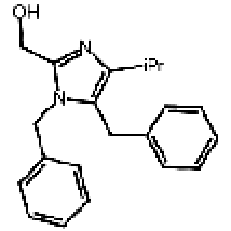 CC(C)c1nc(CO)n(Cc2ccccc2)c1Cc1ccccc1